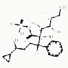 O=C(OP(=O)(O)O)[C@](O)([C@@H](O)[C@H](O)[C@H](O)CO)C(O)(CCC(O)C1CC1)c1ccccc1